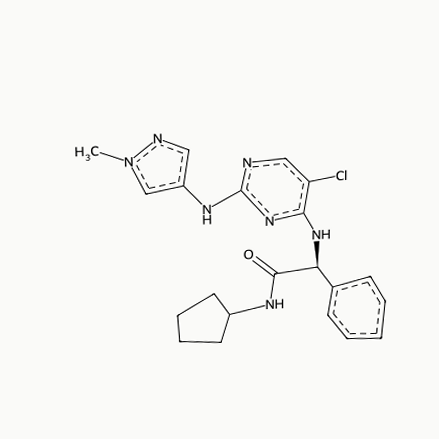 Cn1cc(Nc2ncc(Cl)c(N[C@H](C(=O)NC3CCCC3)c3ccccc3)n2)cn1